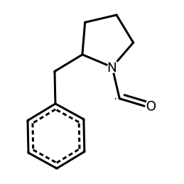 O=[C]N1CCCC1Cc1ccccc1